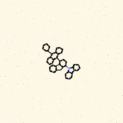 c1ccc(-c2c3ccccc3c(-c3ccc(-n4c5ccccc5c5ccccc54)c4c3-c3ccccc3C4)c3ccccc23)cc1